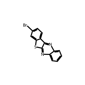 Brc1ccc2c(c1)sc1nc3ccccc3nc12